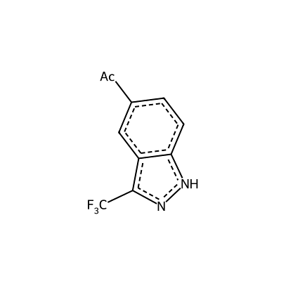 CC(=O)c1ccc2[nH]nc(C(F)(F)F)c2c1